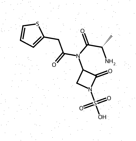 C[C@H](N)C(=O)N(C(=O)Cc1cccs1)C1CN(S(=O)(=O)O)C1=O